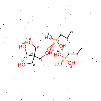 CCCP(=O)(O)O.CCCP(=O)(O)O.OCC(CO)(CO)CO